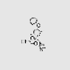 CCC1COC(Cn2ccnc2)(c2cc(C)c(Oc3ccccc3)cc2C)O1